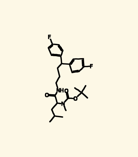 CC(C)CC(C(=O)NCCCC(c1ccc(F)cc1)c1ccc(F)cc1)N(C)C(=O)OC(C)(C)C